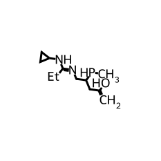 C=C(O)CC(C/N=C(\CC)NC1CC1)PC